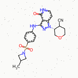 CC1CN(S(=O)(=O)c2ccc(Nc3nn([C@H]4COCCC4C#N)c4cc[nH]c(=O)c34)cc2)C1